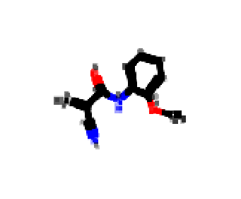 C=C(C#N)C(=O)Nc1ccccc1OC